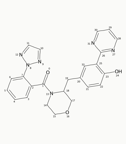 O=C(c1ccccc1-n1nccn1)N1CCOCC1Cc1ccc(O)c(-c2ncccn2)c1